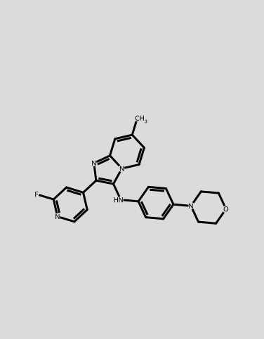 Cc1ccn2c(Nc3ccc(N4CCOCC4)cc3)c(-c3ccnc(F)c3)nc2c1